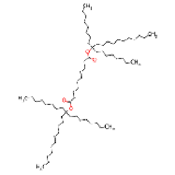 CCCCCCCCCCCC(CCCCCCCC)(CCCCCCCC)OC(=O)CCCCCCCCC(=O)OC(CCCCCCCC)(CCCCCCCC)CCCCCCCCCCC